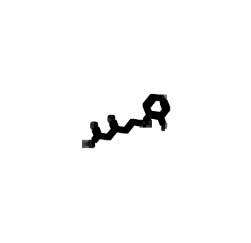 O=C(O)CC(=O)CCNc1ccncc1F